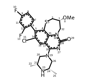 CO[C@H]1CSc2c(-c3ccc(F)cc3F)c(Cl)cc3c(N4C[C@@H](C)N[C@@H](C)C4)nc(=O)n(c23)C1